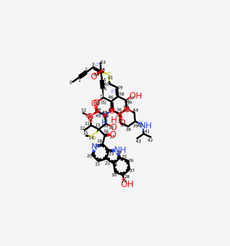 CC#C/C=C\C#C[C@H](OC1OC(C)C(SC)(C(=O)c2nccc3c2[nH]c2ccc(O)cc23)C(O)C1OC1CCC(NC(C)C)CO1)C1=C(NC(=O)OC)C(=O)C[C@H](O)/C1=C/CSC(C)=O